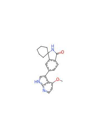 COc1ccnc2[nH]cc(-c3ccc4c(c3)C3(CCCCC3)NC4=O)c12